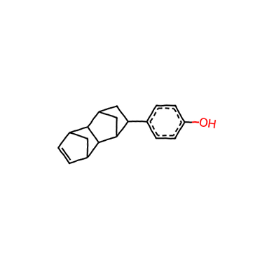 Oc1ccc(C2CC3CC2C2C4C=CC(C4)C32)cc1